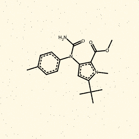 COC(=O)c1c(N(C(N)=O)c2ccc(C)cc2)cc(C(C)(C)C)n1C